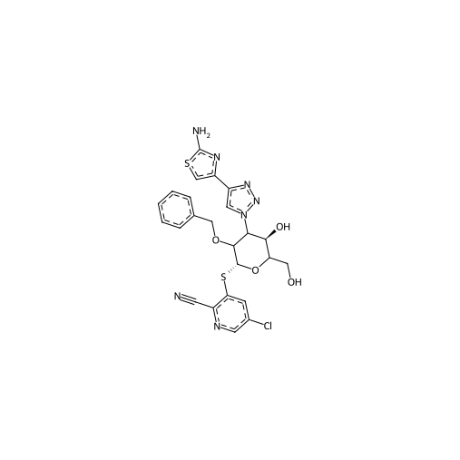 N#Cc1ncc(Cl)cc1S[C@H]1OC(CO)[C@H](O)C(n2cc(-c3csc(N)n3)nn2)C1OCc1ccccc1